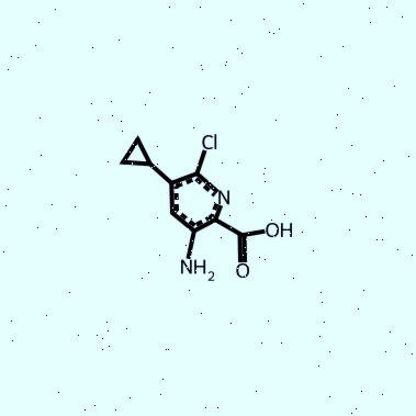 Nc1cc(C2CC2)c(Cl)nc1C(=O)O